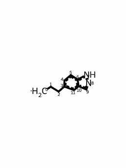 [CH2]CCc1ccc2[nH]ncc2c1